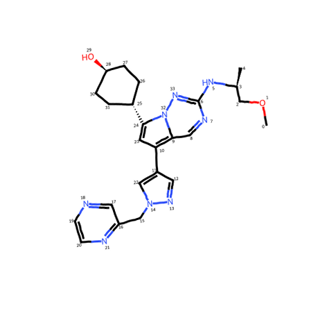 COC[C@H](C)Nc1ncc2c(-c3cnn(Cc4cnccn4)c3)cc([C@H]3CC[C@H](O)CC3)n2n1